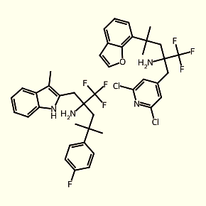 CC(C)(CC(N)(Cc1cc(Cl)nc(Cl)c1)C(F)(F)F)c1cccc2ccoc12.Cc1c(CC(N)(CC(C)(C)c2ccc(F)cc2)C(F)(F)F)[nH]c2ccccc12